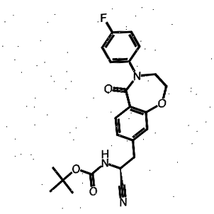 CC(C)(C)OC(=O)N[C@H](C#N)Cc1ccc2c(c1)OCCN(c1ccc(F)cc1)C2=O